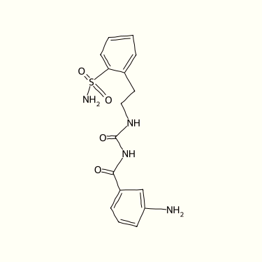 Nc1cccc(C(=O)NC(=O)NCCc2ccccc2S(N)(=O)=O)c1